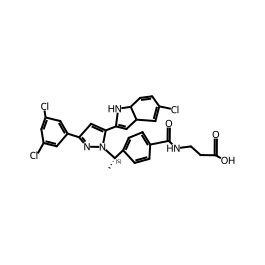 C[C@@H](c1ccc(C(=O)NCCC(=O)O)cc1)n1nc(-c2cc(Cl)cc(Cl)c2)cc1C1=CC2C=C(Cl)C=CC2N1